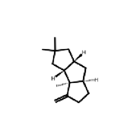 C=C1CC[C@@H]2C[C@H]3CC(C)(C)C[C@H]3[C@]12C